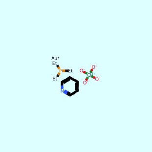 CCP(CC)CC.[Au+].[O-][Cl+3]([O-])([O-])[O-].c1ccncc1